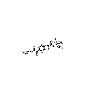 CCOC(=O)C(=O)c1ccc(CNC(=O)OC(C)(C)C)cc1